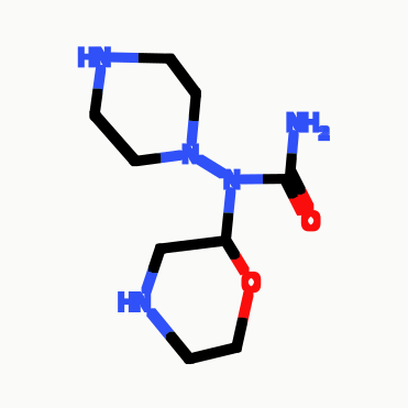 NC(=O)N(C1CNCCO1)N1CCNCC1